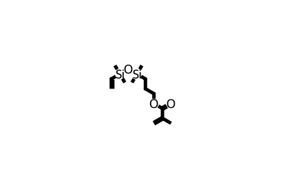 C=C[Si](C)(C)O[Si](C)(C)CCCOC(=O)C(=C)C